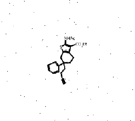 C#CCCC1(c2ccccc2)CCc2c(sc(NC(C)=O)c2C(=O)OCC)C1